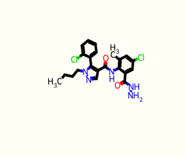 CCCCn1ncc(C(=O)Nc2c(C)cc(Cl)cc2C(=O)NN)c1-c1ccccc1Cl